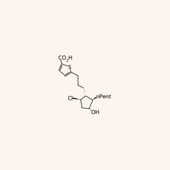 CCCCC[C@@H]1[C@@H](CCCc2ccc(C(=O)O)s2)[C@H](Cl)C[C@H]1O